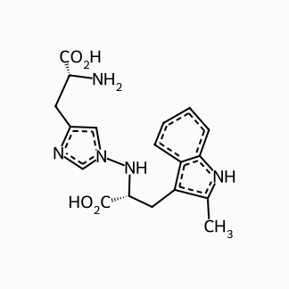 Cc1[nH]c2ccccc2c1C[C@@H](Nn1cnc(C[C@@H](N)C(=O)O)c1)C(=O)O